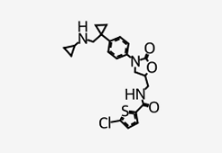 O=C(NCC1CN(c2ccc(C3(CNC4CC4)CC3)cc2)C(=O)O1)c1ccc(Cl)s1